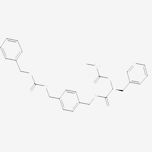 CC(C)(C)NC(=O)O[C@@H](Cc1cccnc1)C(=O)NCc1ccc(CNC(=O)OCc2ccccc2)cc1